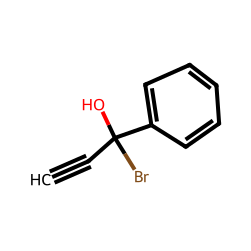 C#CC(O)(Br)c1ccccc1